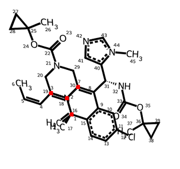 C=CC(=C\C=C/C)/C=C(\c1cc(Cl)ccc1[C@@H](C)N1CCN(C(=O)OC2(C)CC2)CC1)[C@@H](NC(=O)OC1(C)CC1)c1cncn1C